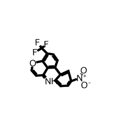 N=c1ccoc2c(C(F)(F)F)ccc(-c3cccc([N+](=O)[O-])c3)c12